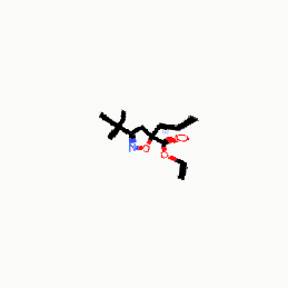 C/C=C/C1(C(=O)OCC)CC(C(C)(C)C)=NO1